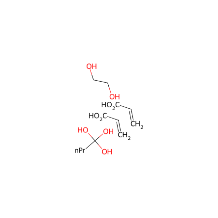 C=CC(=O)O.C=CC(=O)O.CCCC(O)(O)O.OCCO